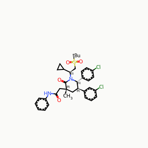 CC(C)(C)S(=O)(=O)C[C@H](C1CC1)N1C(=O)[C@@](C)(CC(=O)Nc2ccccc2)C[C@H](c2cccc(Cl)c2)[C@H]1c1ccc(Cl)cc1